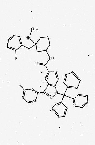 Cc1cc(-c2nn(C(c3ccccc3)(c3ccccc3)c3ccccc3)c3ccc(C(=O)NC4CCCC(Cc5ccccc5F)(NC=O)C4)cc23)ccn1